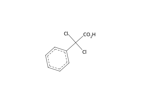 O=C(O)C(Cl)(Cl)c1ccccc1